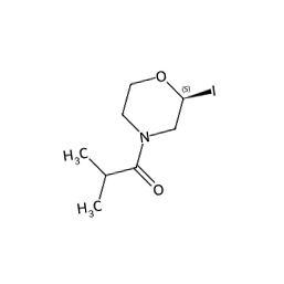 CC(C)C(=O)N1CCO[C@@H](I)C1